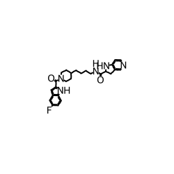 O=C(NCCCCC1CCN(C(=O)c2cc3cc(F)ccc3[nH]2)CC1)C1Cc2cnccc2N1